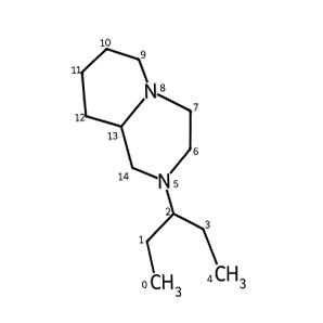 CCC(CC)N1CCN2CCCCC2C1